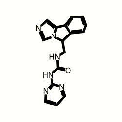 O=C(NCC1c2ccccc2-c2cncn21)Nc1ncccn1